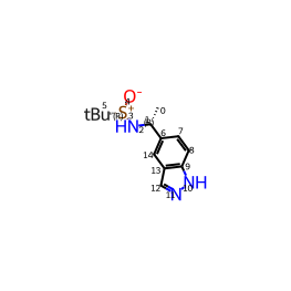 C[C@@H](N[S@@+]([O-])C(C)(C)C)c1ccc2[nH]ncc2c1